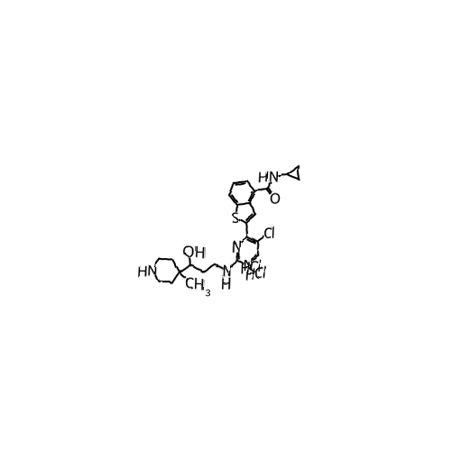 CC1(C(O)CCNc2ncc(Cl)c(-c3cc4c(C(=O)NC5CC5)cccc4s3)n2)CCNCC1.Cl.Cl